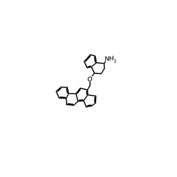 NC1CCC(OCc2cc3c4ccccc4ccc3c3ccccc23)c2ccccc21